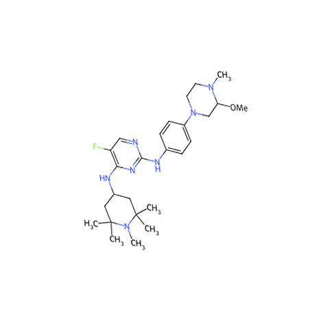 COC1CN(c2ccc(Nc3ncc(F)c(NC4CC(C)(C)N(C)C(C)(C)C4)n3)cc2)CCN1C